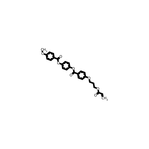 C=CC(=O)OCCCOc1ccc(C(=O)Oc2ccc(OC(=O)c3ccc(OC)cc3)cc2)cc1